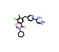 CN/C=C\C(=N)c1ccc(Cc2cc3c(c(F)c2C)OCN(C2CCCCC2)C3=O)cn1